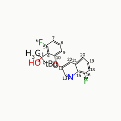 CC(C)(C)C(C)(O)c1c(F)cccc1Oc1cnc2c(F)cccc2c1